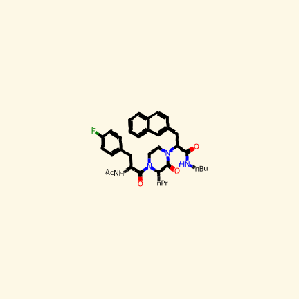 CCCCNC(=O)C(Cc1ccc2ccccc2c1)N1CCN(C(=O)C(Cc2ccc(F)cc2)NC(C)=O)C(CCC)C1=O